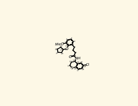 COc1cccc(CCCC(=O)NC2CCSc3ccc(Cl)cc32)c1OC1CCCC1